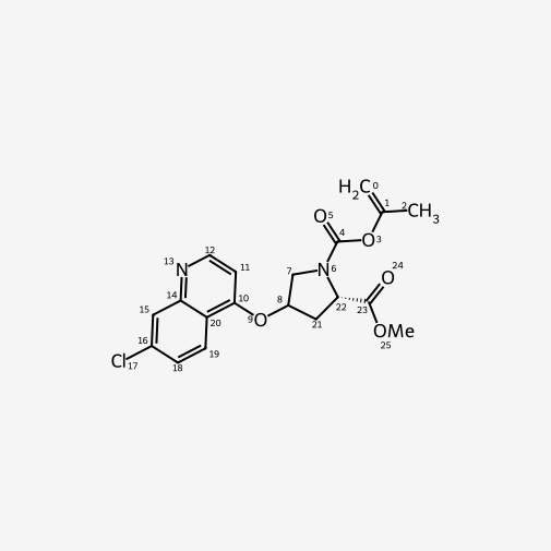 C=C(C)OC(=O)N1CC(Oc2ccnc3cc(Cl)ccc23)C[C@H]1C(=O)OC